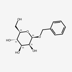 OC[C@H]1O[C@@H](OCc2ccccc2)[C@@H](O)[C@@H](O)[C@@H]1O